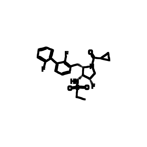 CCS(=O)(=O)N[C@H]1[C@@H](F)CN(C(=O)C2CC2)[C@H]1Cc1cccc(-c2ccccc2F)c1F